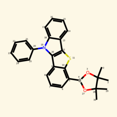 CC1(C)OB(c2cccc3c2sc2c4ccccc4n(-c4ccccc4)c32)OC1(C)C